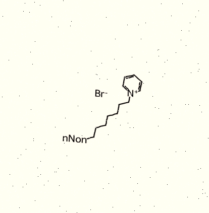 CCCCCCCCCCCCCCCC[n+]1ccccc1.[Br-]